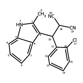 Cc1[nH]c2ccccc2c1C(c1ccccc1Cl)C(C#N)C#N